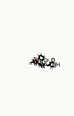 COc1cccc(OC)c1-n1c(SCc2cc[nH]c(=O)c2)nnc1-c1ccc(C)o1